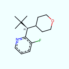 CC(C)(C)[C@H](c1ncccc1F)C1CCOCC1